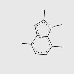 Cc1ccc(F)c2cc(C)n(C)c12